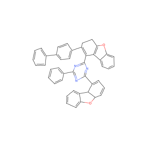 C1=CC2Oc3ccccc3C2C(c2nc(C3=C(c4ccc(-c5ccccc5)cc4)CCc4oc5ccccc5c43)nc(-c3ccccc3)n2)=C1